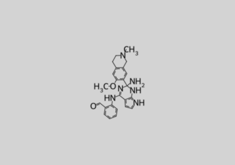 COc1cc2c(cc1C1(N)N=C(Nc3ccccc3C=O)c3cc[nH]c3N1)CN(C)CC2